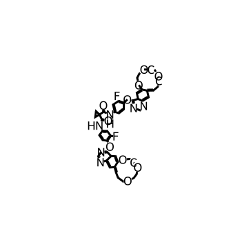 O=C(Nc1ccc(OC2=NC=NC3=C/C4=C/CCOCCOCCOC4=CC32)c(F)c1)C1(C(=O)Nc2ccc(OC3=NC=NC4=C/C5=C/CCOCCOCCOC5=CC43)c(F)c2)CC1